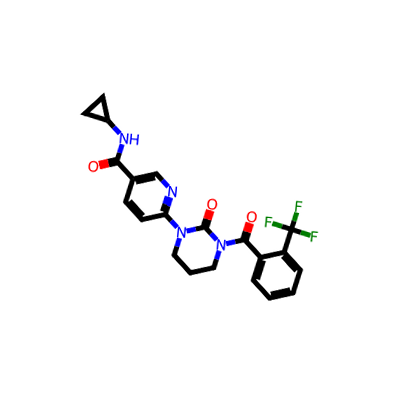 O=C(NC1CC1)c1ccc(N2CCCN(C(=O)c3ccccc3C(F)(F)F)C2=O)nc1